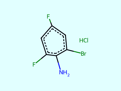 Cl.Nc1c(F)cc(F)cc1Br